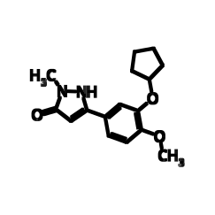 COc1ccc(-c2cc(=O)n(C)[nH]2)cc1OC1CCCC1